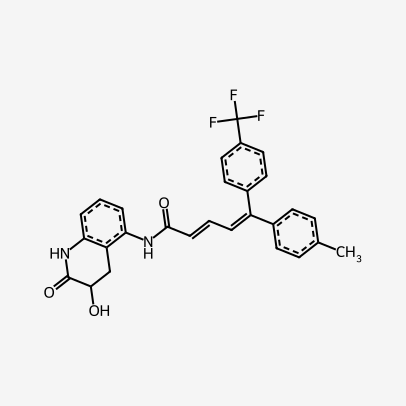 Cc1ccc(C(=CC=CC(=O)Nc2cccc3c2CC(O)C(=O)N3)c2ccc(C(F)(F)F)cc2)cc1